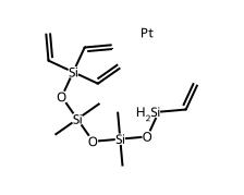 C=C[SiH2]O[Si](C)(C)O[Si](C)(C)O[Si](C=C)(C=C)C=C.[Pt]